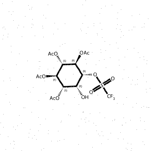 CC(=O)O[C@@H]1[C@@H](OC(C)=O)[C@H](OS(=O)(=O)C(F)(F)F)[C@H](O)[C@H](OC(C)=O)[C@H]1OC(C)=O